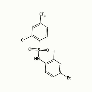 CCc1ccc(NS(=O)(=O)c2ccc(C(F)(F)F)cc2Cl)c(C)c1